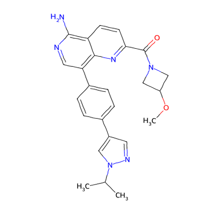 COC1CN(C(=O)c2ccc3c(N)ncc(-c4ccc(-c5cnn(C(C)C)c5)cc4)c3n2)C1